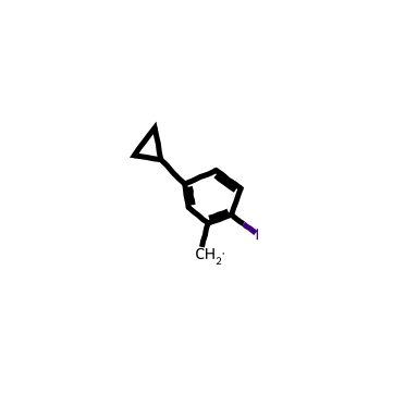 [CH2]c1cc(C2CC2)ccc1I